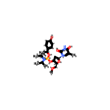 [2H]OC[C@H]1O[C@@H](n2cc(C)c(=O)[nH]c2=O)CC1OP(OC(C)c1ccc(Br)cc1)N(C(C)C)C(C)C